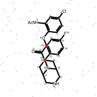 CC(=O)Nc1cc(Cl)ccc1OCC(=O)N1CC2CNCC(C1)N2Cc1ccc(F)cc1